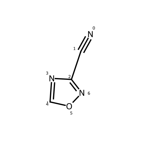 N#Cc1n[c]on1